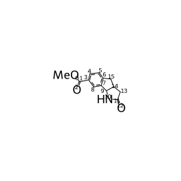 COC(=O)c1ccc2c(c1)C1NC(=O)CC1C2